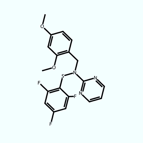 COc1ccc(CN(Sc2c(F)cc(F)cc2F)c2ncccn2)c(OC)c1